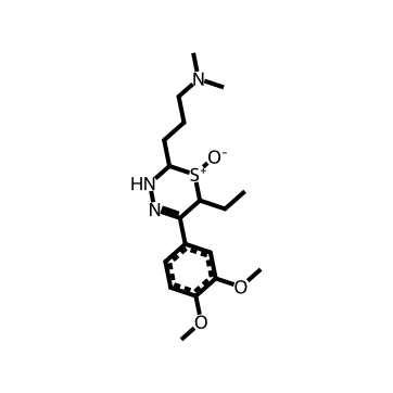 CCC1C(c2ccc(OC)c(OC)c2)=NNC(CCCN(C)C)[S+]1[O-]